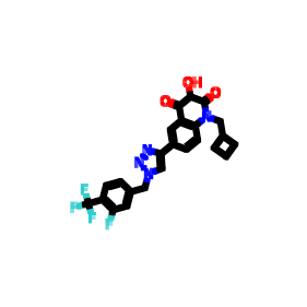 O=C1c2cc(-c3cn(Cc4ccc(C(F)(F)F)c(F)c4)nn3)ccc2N(CC2CCC2)C(=O)C1O